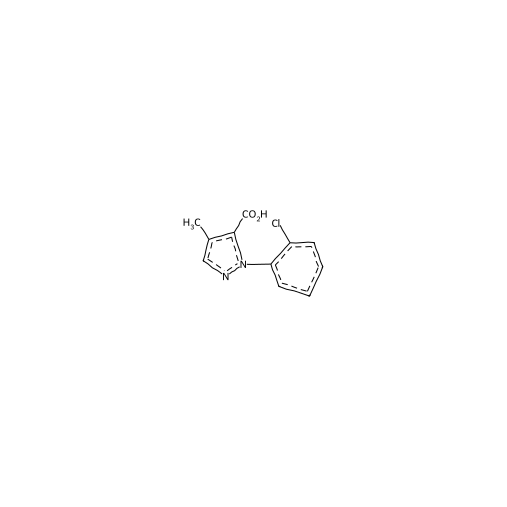 Cc1cnn(-c2ccccc2Cl)c1C(=O)O